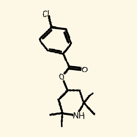 CC1(C)CC(OC(=O)c2ccc(Cl)cc2)CC(C)(C)N1